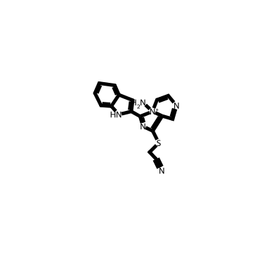 N#CCSC1=C2C=NC=C[N+]2(N)C(c2cc3ccccc3[nH]2)=N1